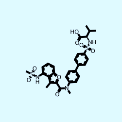 Cc1c(C(=O)N(C)c2ccc(-c3ccc(S(=O)(=O)N[C@@H](C(=O)O)C(C)C)cc3)cc2)oc2cccc(NS(C)(=O)=O)c12